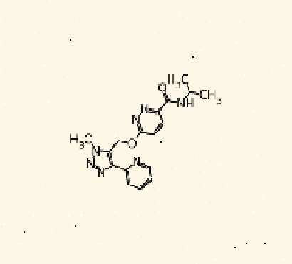 CC(C)NC(=O)c1ccc(OCc2c(-c3ccccn3)nnn2C)nn1